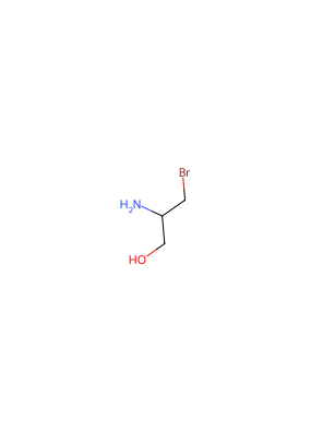 NC(CO)CBr